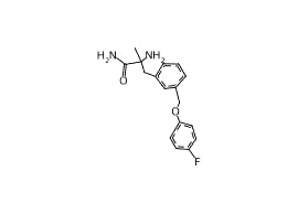 CC(N)(Cc1cccc(COc2ccc(F)cc2)c1)C(N)=O